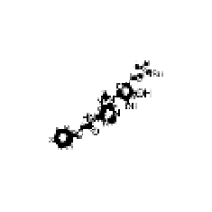 CC(C)(C)[Si](C)(C)OC[C@H]1O[C@@H](n2cnc3c(NC(=O)COc4ccccc4)ncnc32)[C@H](O)[C@@H]1O